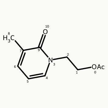 CC(=O)OCCn1cccc(C)c1=O